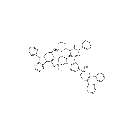 CC1CC2C(C3=C1C1CCC(c4ccc(C5(C)CCC(c6ccccc6)=C(C6C=CC=CC6)C5)cc4C4=NC(C5=CCCCC5)NC(C5CCCCC5)N4)=CC1(C)S3)c1ccccc1N2c1ccccc1